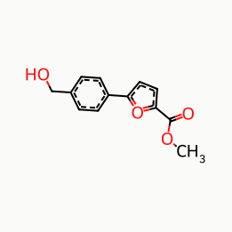 COC(=O)c1ccc(-c2ccc(CO)cc2)o1